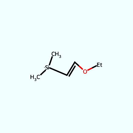 CCOC=C[Si](C)C